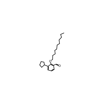 CCCCCCCCCCCOc1c(C=O)cccc1C1CCCC1